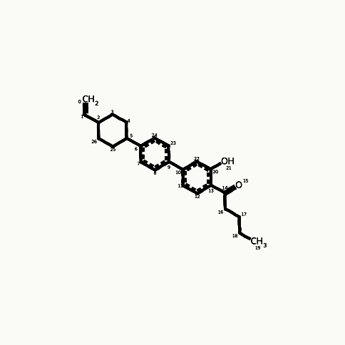 C=CC1CCC(c2ccc(-c3ccc(C(=O)CCCC)c(O)c3)cc2)CC1